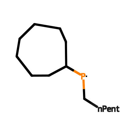 CCCCCC[P]C1CCCCCCC1